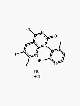 Cc1ccnc(C(C)C)c1-n1c(=O)nc(Cl)c2cc(F)c(Cl)nc21.Cl.Cl